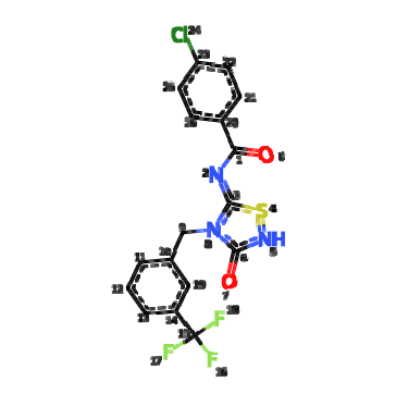 O=C(N=c1s[nH]c(=O)n1Cc1cccc(C(F)(F)F)c1)c1ccc(Cl)cc1